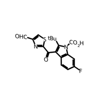 CC(C)(C)c1c(C(=O)c2nc(C=O)cs2)c2ccc(F)cc2n1C(=O)O